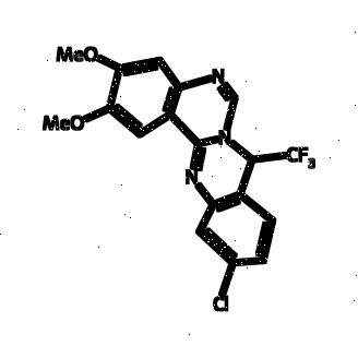 COc1cc2c(cc1OC)C1=Nc3cc(Cl)ccc3C(C(F)(F)F)N1C=N2